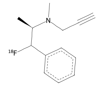 C#CCN(C)[C@H](C)C([18F])c1ccccc1